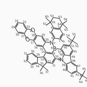 Cc1cc2c(cc1N1B3c4c(cc5c(c4-c4cc6c(cc41)Oc1ccccc1O6)-c1ccccc1C5(C)C)-n1c4ccc(C(C)(C)C)cc4c4cc(C(C)(C)C)cc3c41)C(C)(C)CCC2(C)C